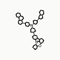 c1ccc2c(c1)Oc1cccc3c4cc(-c5ccc(N(c6ccc(-c7ccc8ccccc8c7)cc6)c6ccc(-c7cccc8c7ccc7ccccc78)cc6)cc5)ccc4n-2c13